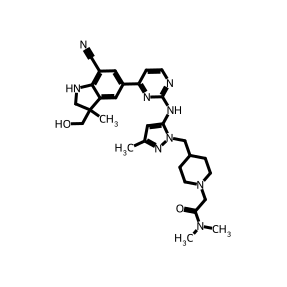 Cc1cc(Nc2nccc(-c3cc(C#N)c4c(c3)C(C)(CO)CN4)n2)n(CC2CCN(CC(=O)N(C)C)CC2)n1